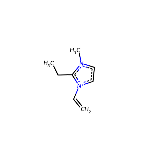 C=C[n+]1ccn(C)c1CC